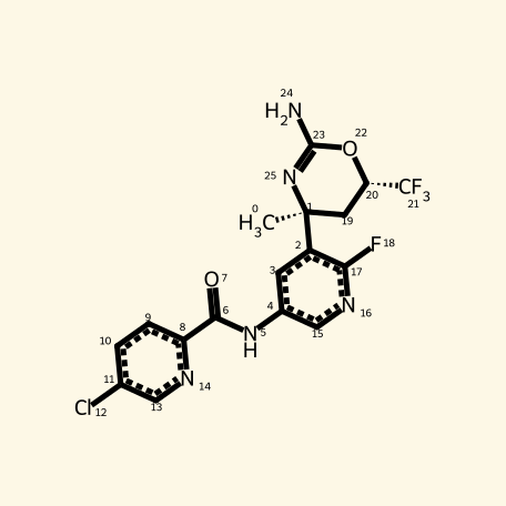 C[C@@]1(c2cc(NC(=O)c3ccc(Cl)cn3)cnc2F)C[C@@H](C(F)(F)F)OC(N)=N1